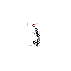 CC1(C)CCC(c2ccc(C(=O)NS(=O)(=O)c3ccc(CN(CCSc4ccccc4)Cc4ccc(S(N)(=O)=O)cc4)cc3)cc2)CC1